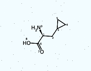 N[C@@H](CC1CC1)C(=O)O